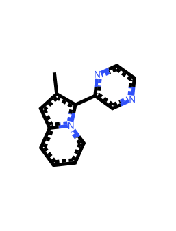 Cc1cc2ccccn2c1-c1cnccn1